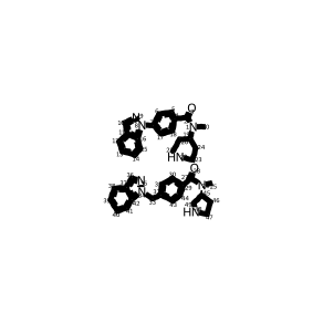 CN(C(=O)c1ccc(-n2ncc3ccccc32)cc1)C1CCNCC1.CN(C(=O)c1ccc(Cn2ncc3ccccc32)cc1)[C@@H]1CCNC1